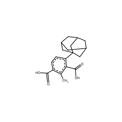 Cc1c(C(=O)O)ccc(C23CC4CC(CC(C4)C2)C3)c1C(=O)O